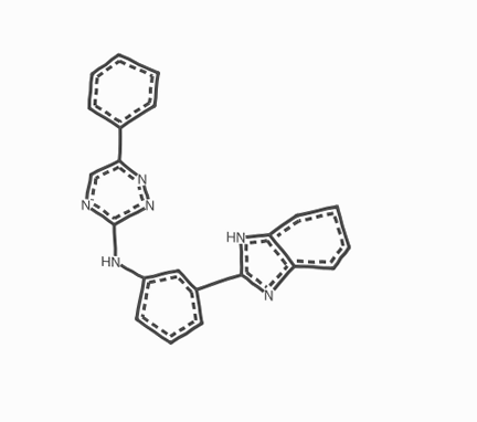 c1ccc(-c2cnc(Nc3cccc(-c4nc5ccccc5[nH]4)c3)nn2)cc1